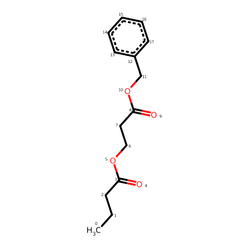 CCCC(=O)OCCC(=O)OCc1ccccc1